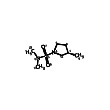 C[C@@H]1CCN(S(=O)(=O)N(C)C)C1